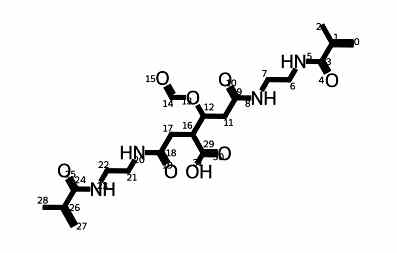 C=C(C)C(=O)NCCNC(=O)CC(OC=O)C(CC(=O)NCCNC(=O)C(=C)C)C(=O)O